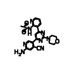 CS(=O)(=O)Nc1ncccc1-c1cc(-c2cnc(N)cc2C#N)nc(N2CCOCC2)n1